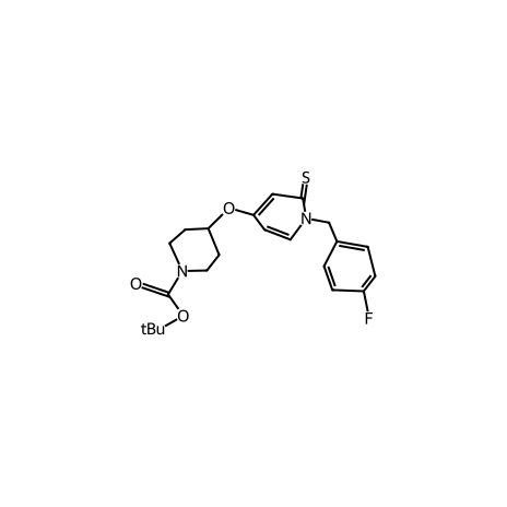 CC(C)(C)OC(=O)N1CCC(Oc2ccn(Cc3ccc(F)cc3)c(=S)c2)CC1